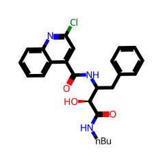 CCCCNC(=O)[C@@H](O)C(Cc1ccccc1)NC(=O)c1cc(Cl)nc2ccccc12